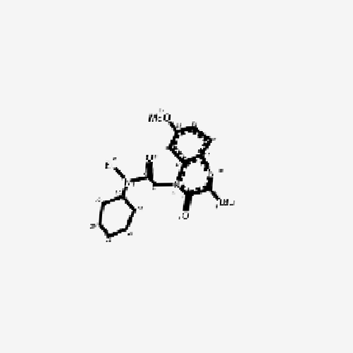 CCN(C(=O)Cn1c(=O)c(C(C)(C)C)nc2ccc(OC)cc21)C1CCCCC1